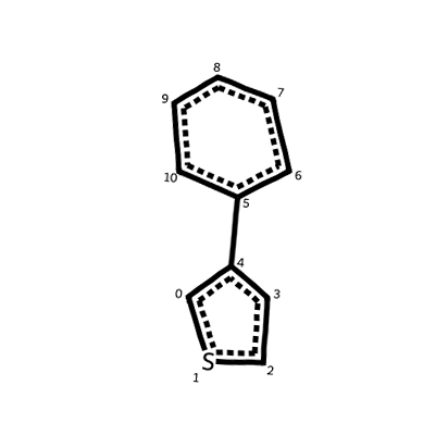 [c]1sccc1-c1ccccc1